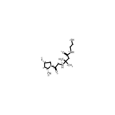 CC(C)(CC(=O)NCCS)NCC(=O)N1C[C@@H](F)C[C@H]1C#N